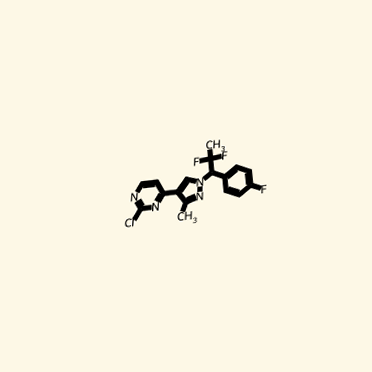 Cc1nn(C(c2ccc(F)cc2)C(C)(F)F)cc1-c1ccnc(Cl)n1